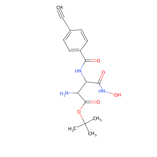 C#Cc1ccc(C(=O)NC(C(=O)NO)C(N)C(=O)OC(C)(C)C)cc1